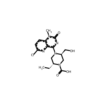 CC[C@@H]1CN(c2nc(=O)n(C)c3ccc(Cl)nc23)[C@@H](CO)CN1C(=O)O